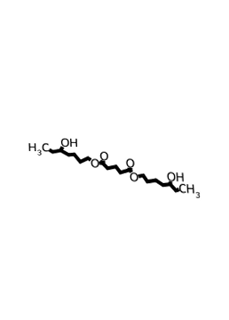 CCC(O)CCCCOC(=O)CCCC(=O)OCCCCC(O)CC